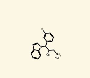 Cl.NC[C@@H](O)[C@H](c1cccc(F)c1)n1ccc2ccccc21